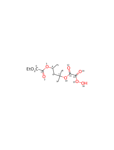 CCOC(=O)C(=O)OC(C)CC(C)(C)OC(=O)C(=O)OO